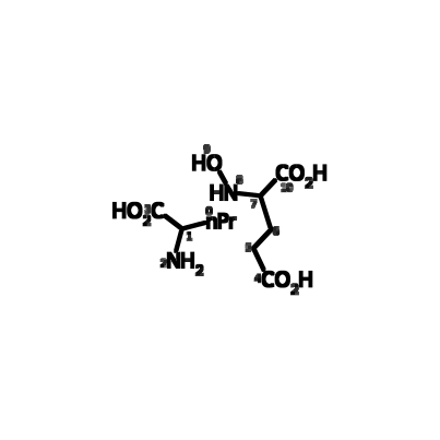 CCCC(N)C(=O)O.O=C(O)CCC(NO)C(=O)O